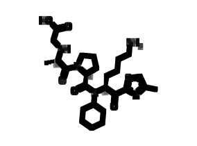 Cc1csc(C(=O)[C@H](CCCCN)N(C(=O)[C@@H]2CCCN2C(=O)[C@H](C)NCC(=O)O)C2CCCCC2)n1